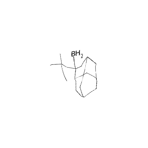 BC1(C(C)(C)C)C2CC3CC(C2)CC1C3